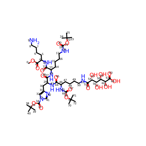 COC(=O)C(CCCCN)NC(=O)C(CCCCNC(=O)OC(C)(C)C)NC(=O)C(Cc1cn(C(=O)OC(C)(C)C)cn1)NC(=O)C(CCCCNC(=O)[C@H](O)[C@@H](O)[C@@H](O)[C@H](O)C(=O)O)NC(=O)OC(C)(C)C